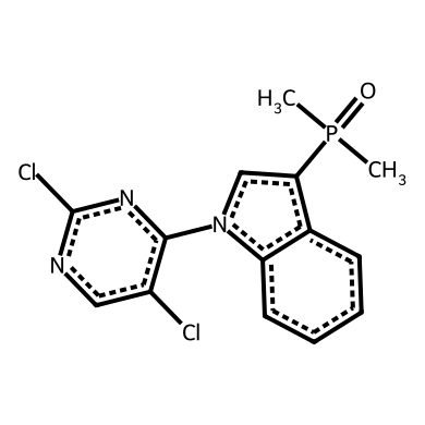 CP(C)(=O)c1cn(-c2nc(Cl)ncc2Cl)c2ccccc12